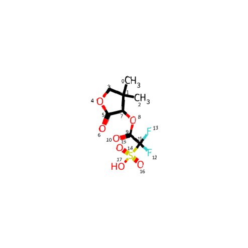 CC1(C)COC(=O)C1OC(=O)C(F)(F)S(=O)(=O)O